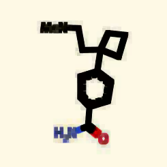 CNCCC1(c2ccc(C(N)=O)cc2)CCC1